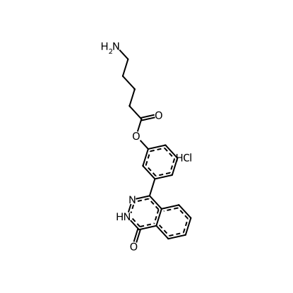 Cl.NCCCCC(=O)Oc1cccc(-c2n[nH]c(=O)c3ccccc23)c1